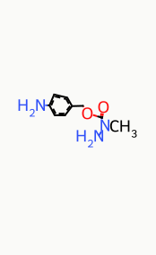 CN(N)C(=O)OCc1ccc(N)cc1